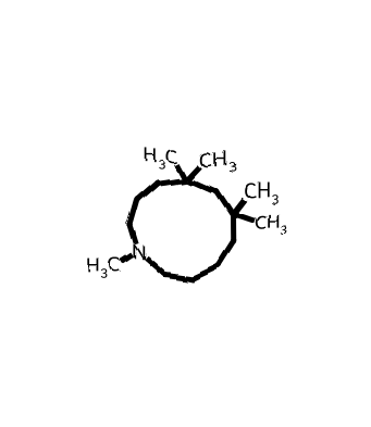 CN1CCCCC(C)(C)CC(C)(C)CCC1